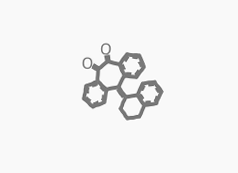 O=C1C(=O)c2ccccc2C(=C2CCCc3ccccc32)c2ccccc21